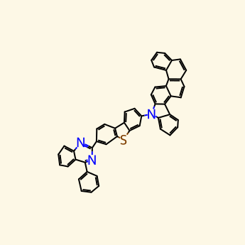 c1ccc(-c2nc(-c3ccc4c(c3)sc3cc(-n5c6ccccc6c6c7ccc8ccc9ccccc9c8c7ccc65)ccc34)nc3ccccc23)cc1